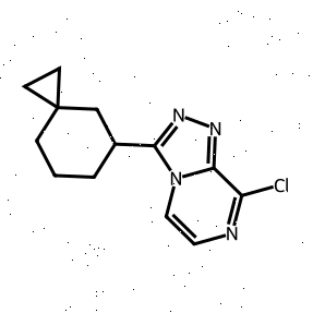 Clc1nccn2c(C3CCCC4(CC4)C3)nnc12